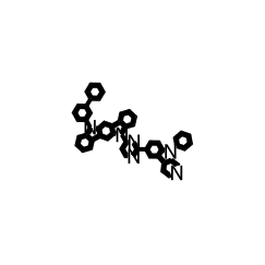 c1ccc(-c2cccc(-n3c4ccccc4c4cc5c(cc43)c3ccccc3n5-c3ccnc(-c4ccc5c(c4)c4ccncc4n5-c4ccccc4)n3)c2)cc1